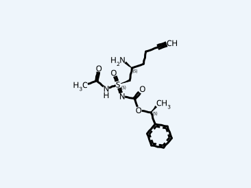 C#CCC[C@H](N)C[S@@](=O)(=NC(=O)O[C@@H](C)c1ccccc1)NC(C)=O